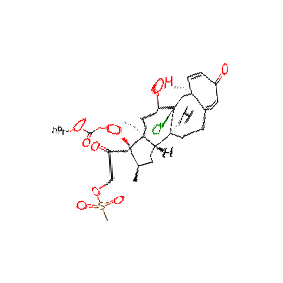 CCCOC(=O)O[C@]1(C(=O)COS(C)(=O)=O)[C@H](C)C[C@H]2[C@@H]3CCC4=CC(=O)C=C[C@]4(C)[C@@]3(Cl)C(O)C[C@@]21C